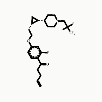 C=CCCC(=O)c1ccc(OCC[C@@H]2C[C@@H]2C2CCN(CC(F)(F)C(F)(F)F)CC2)cc1F